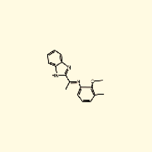 COc1c(C)cccc1N=C(C)c1nc2ccccc2[nH]1